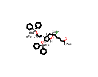 CCCCC[C@@H](/C=C/[C@@H]1[C@H]2C[C@@](OC)([C@@H](F)CCCC(=O)OC)O[C@H]2C[C@H]1O[Si](c1ccccc1)(c1ccccc1)C(C)(C)C)O[Si](c1ccccc1)(c1ccccc1)C(C)(C)C